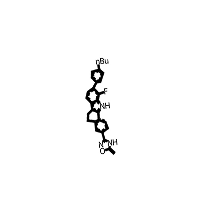 C=C1NC(c2ccc3c(c2)CCc2c-3[nH]c3c(F)c(-c4ccc(CCCC)cc4)ccc23)=NO1